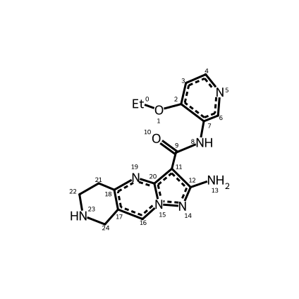 CCOc1ccncc1NC(=O)c1c(N)nn2cc3c(nc12)CCNC3